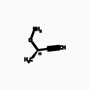 C#C[C@H](C)ON